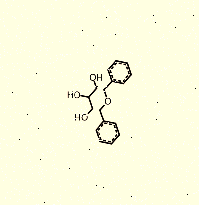 OCC(O)CO.c1ccc(COCc2ccccc2)cc1